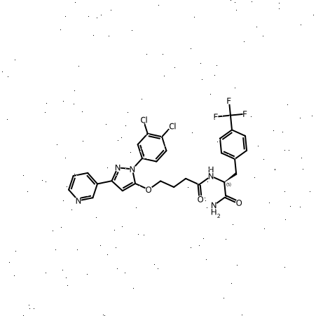 NC(=O)[C@H](Cc1ccc(C(F)(F)F)cc1)NC(=O)CCCOc1cc(-c2cccnc2)nn1-c1ccc(Cl)c(Cl)c1